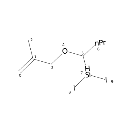 C=C(C)COC(CCC)[SiH](I)I